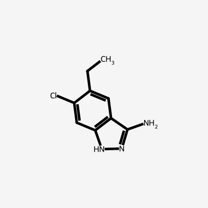 CCc1cc2c(N)n[nH]c2cc1Cl